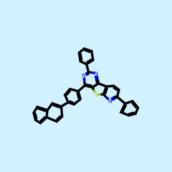 c1ccc(-c2ccc3c(n2)sc2c(-c4ccc(-c5ccc6ccccc6c5)cc4)nc(-c4ccccc4)nc23)cc1